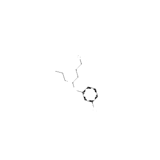 CCC[C@@H](CCCN)Oc1cccc(Cl)c1